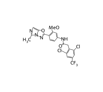 COc1cc(NC(=O)Cc2c(Cl)cc(C(F)(F)F)cc2Cl)ccc1-c1nn2c(C)ncc2o1